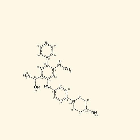 CNc1nc(Nc2ccc(N3CCC(N)CC3)cc2)c(C(N)O)nc1-c1ccccc1